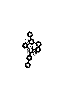 c1ccc(-c2ccc(-c3nc(-c4cccc5oc6c(-c7ccccc7)cc(-c7ccccc7)cc6c45)nc4c3oc3ccccc34)cc2)cc1